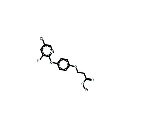 CC(C)OC(=O)CCOc1ccc(Oc2ncc(Cl)cc2Br)cc1